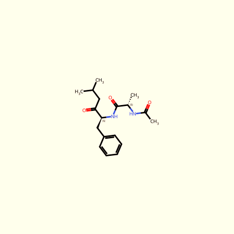 CC(=O)N[C@@H](C)C(=O)N[C@@H](Cc1ccccc1)C(=O)CC(C)C